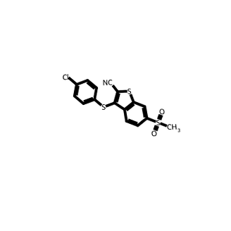 CS(=O)(=O)c1ccc2c(Sc3ccc(Cl)cc3)c(C#N)sc2c1